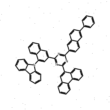 c1ccc(-c2ccc3cc(-c4nc(-c5cc(-n6c7ccccc7c7ccccc76)c6ccccc6c5)nc(-c5cc6ccccc6c6ccccc56)n4)ccc3c2)cc1